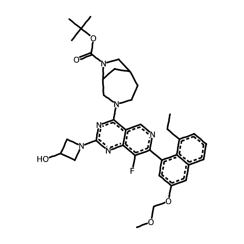 CCc1cccc2cc(OCOC)cc(-c3ncc4c(N5CCC6CC(C5)N(C(=O)OC(C)(C)C)C6)nc(N5CC(O)C5)nc4c3F)c12